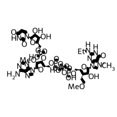 CCNc1nc2c(c(=O)[nH]1)[n+](C)cn2[C@@H]1O[C@H](COP(=O)(O)OP(=O)(O)OP(=O)(O)OC[C@H]2O[C@@H](n3cnc4c(N)ncnc43)[C@H](OC)[C@@H]2OP(=O)(O)OC[C@H]2O[C@@H](n3ccc(=O)[nH]c3=O)[C@H](O)[C@@H]2O)[C@@H](CCOC)[C@H]1O